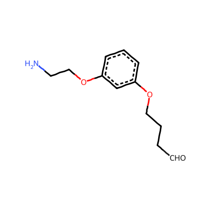 NCCOc1cccc(OCCCC=O)c1